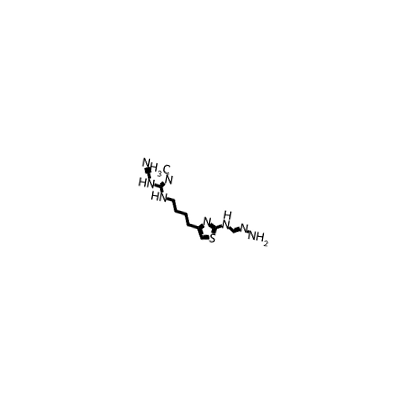 CN=C(NC#N)NCCCCc1csc(NC=NN)n1